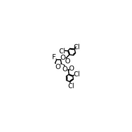 O=C(OC[C@H]1OC[C@@H](F)[C@@H]1OC(=O)c1ccc(Cl)cc1Cl)c1ccc(Cl)cc1Cl